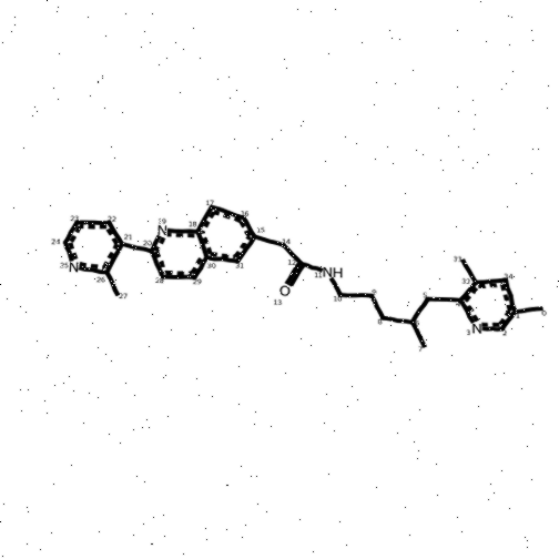 Cc1cnc(CC(C)CCCNC(=O)Cc2ccc3nc(-c4cccnc4C)ccc3c2)c(C)c1